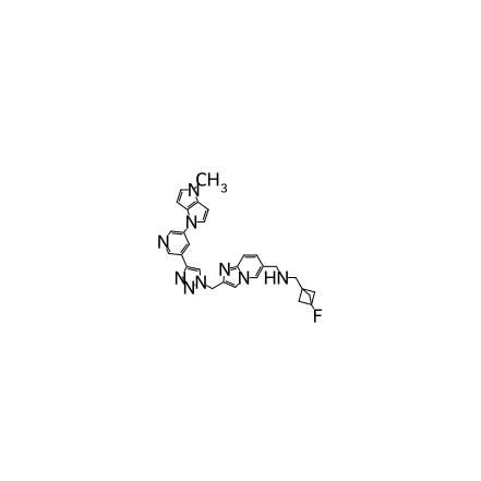 Cn1ccc2c1ccn2-c1cncc(-c2cn(Cc3cn4cc(CNCC56CC(F)(C5)C6)ccc4n3)nn2)c1